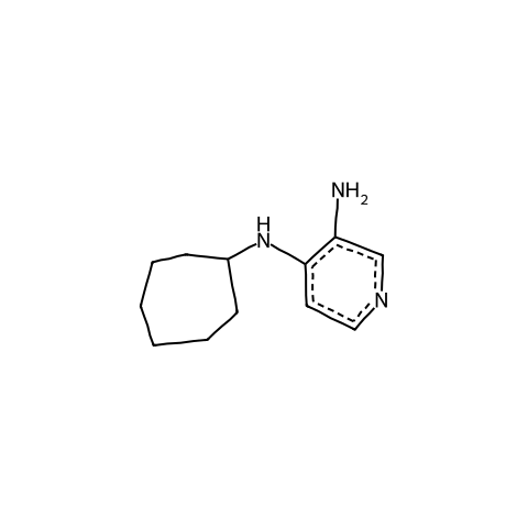 Nc1cnccc1NC1CCCCCC1